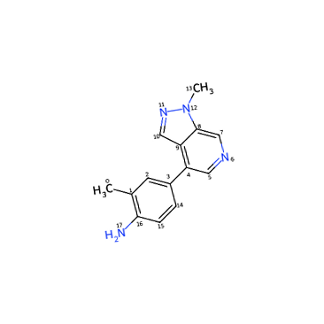 Cc1cc(-c2cncc3c2cnn3C)ccc1N